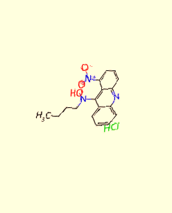 CCCCN(O)c1c2ccccc2nc2cccc([N+](=O)[O-])c12.Cl